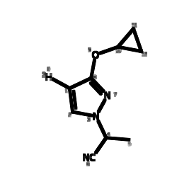 [2H]c1cn(C(C)C#N)nc1OC1CC1